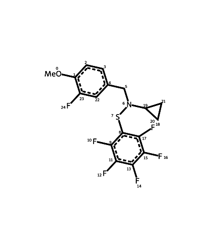 COc1ccc(CN(Sc2c(F)c(F)c(F)c(F)c2F)C2CC2)cc1F